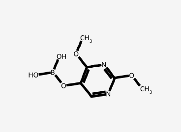 COc1ncc(OB(O)O)c(OC)n1